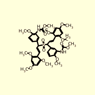 COC(=O)Nc1cc(C(C=Cc2c(OC)cc(OC)cc2OC)S(=O)(=O)C(C=Cc2c(OC)cc(OC)cc2OC)c2ccc(OC)c(NC(=O)OC)c2)ccc1OC